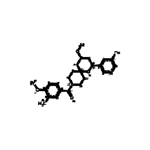 CCOC1C[C@@H](c2cncc(F)c2)OC2(CCN(C(=O)c3ccc(OC(C)C)c(C)c3)CC2)C1